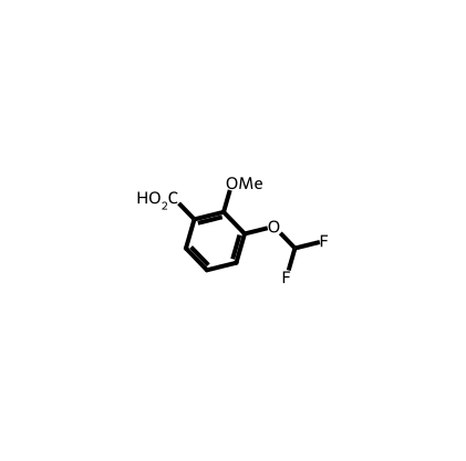 COc1c(OC(F)F)cccc1C(=O)O